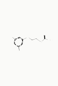 CC(C)COC(=O)NCCOc1cc(C(=O)O)cc(C(=O)O)c1